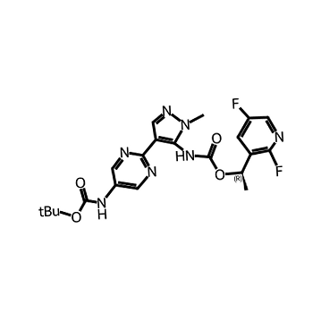 C[C@@H](OC(=O)Nc1c(-c2ncc(NC(=O)OC(C)(C)C)cn2)cnn1C)c1cc(F)cnc1F